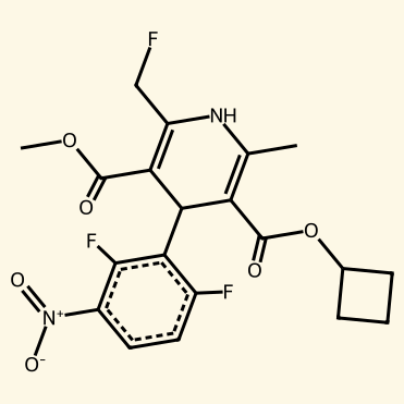 COC(=O)C1=C(CF)NC(C)=C(C(=O)OC2CCC2)C1c1c(F)ccc([N+](=O)[O-])c1F